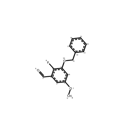 COc1cc(C=O)c(F)c(OCc2ccccc2)c1